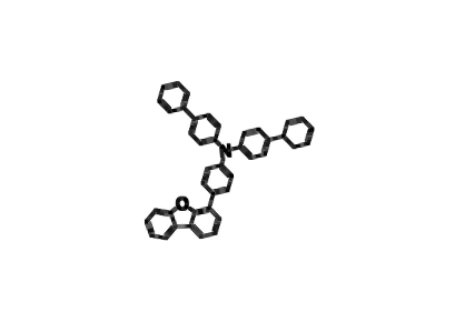 C1=CCC(c2ccc(N(c3ccc(-c4ccccc4)cc3)c3ccc(-c4cccc5c4oc4ccccc45)cc3)cc2)C=C1